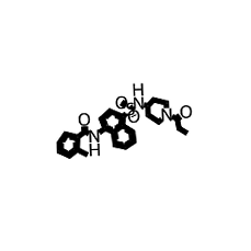 CCC(=O)N1CCC(NS(=O)(=O)c2ccc(NC(=O)c3ccccc3C)c3ccccc23)CC1